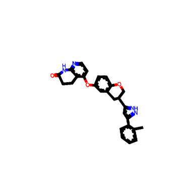 Cc1ccccc1-c1cc(C2COc3ccc(Oc4ccnc5c4CCC(=O)N5)cc3C2)[nH]n1